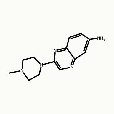 CN1CCN(c2cnc3cc(N)ccc3n2)CC1